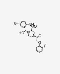 O=C1Nc2ccc(Br)cc2C(O)N2CCN(C(=O)COc3ccccc3F)CC12